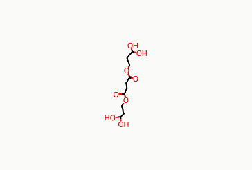 O=C(CCC(=O)OCCC(O)O)OCCC(O)O